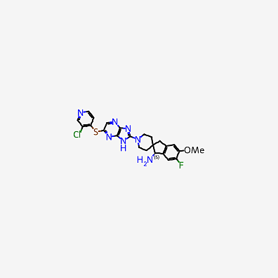 COc1cc2c(cc1F)[C@@H](N)C1(CCN(c3nc4ncc(Sc5ccncc5Cl)nc4[nH]3)CC1)C2